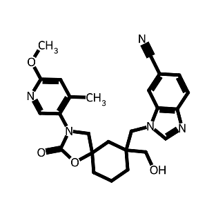 COc1cc(C)c(N2CC3(CCCC(CO)(Cn4cnc5ccc(C#N)cc54)C3)OC2=O)cn1